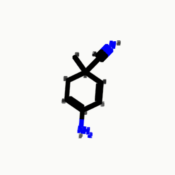 CC1(C#N)C=CC(N)=CC1